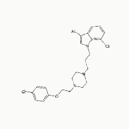 CC(=O)c1cn(CCCN2CCN(CCOc3ccc(Cl)cc3)CC2)c2c(Cl)cccc12